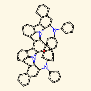 c1ccc(N(c2ccccc2)c2cc3ccccc3c3c4cccc5c6c7c8cccc9c%10c%11ccccc%11cc(N(c%11ccccc%11)c%11ccccc%11)c%10n(c7ccc6n(c23)c54)c89)cc1